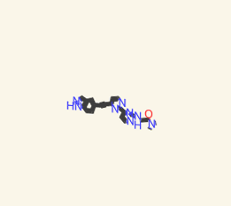 CN(C)C(=O)CNc1nccc(-c2nccc(C#Cc3ccc4[nH]ncc4c3)n2)n1